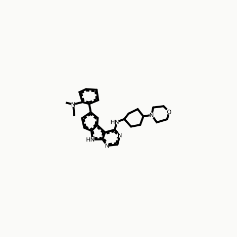 CN(C)c1ccccc1-c1ccc2[nH]c3ncnc(NC4CCC(N5CCOCC5)CC4)c3c2c1